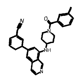 Cc1cccc(C(=O)N2CCC(Nc3cc(C4C=C(C#N)C=CC4)cc4ccncc34)CC2)c1